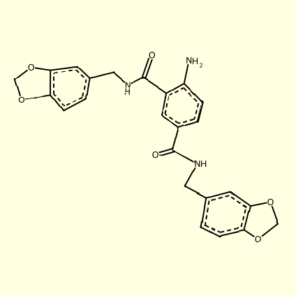 Nc1ccc(C(=O)NCc2ccc3c(c2)OCO3)cc1C(=O)NCc1ccc2c(c1)OCO2